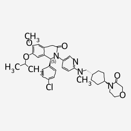 COc1cc2c(cc1OC(C)C)[C@H](c1ccc(Cl)cc1)N(c1ccc(N(C)C[C@H]3CC[C@H](N4CCOCC4=O)CC3)nc1)C(=O)C2